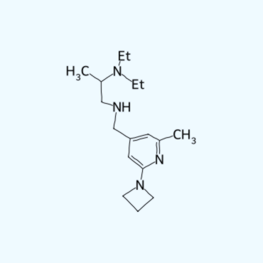 CCN(CC)C(C)CNCc1cc(C)nc(N2CCC2)c1